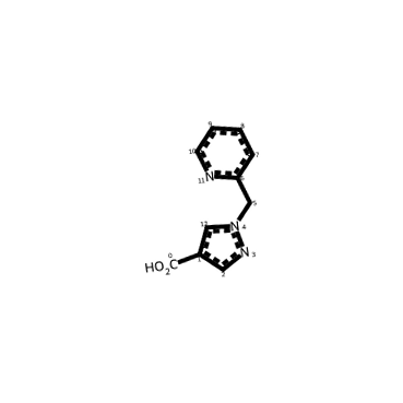 O=C(O)c1cnn(Cc2ccccn2)c1